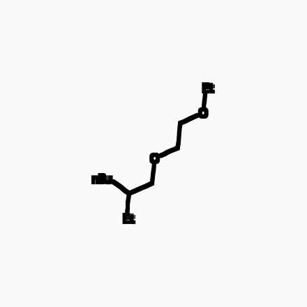 [CH2]COCCOCC(CC)CCCC